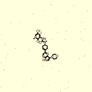 CN(C(=O)Nc1cc(C(F)(F)F)cn(C)c1=O)[C@@H]1CC=C(c2cnc3[nH]cc(N4CCOCC4)c3n2)CC1